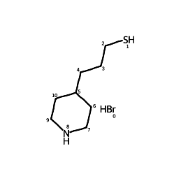 Br.SCCCC1CCNCC1